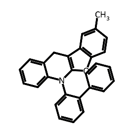 Cc1ccc2oc3c(c2c1)Cc1ccccc1N3c1ccccc1-c1ccccc1